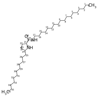 CCCCCCCCCCCCCCCCCCNC(=O)[C@@H]1CSC(CCCCCCCCCCCC)N1